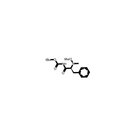 CON(C)[C@@H](Cc1ccccc1)C(=O)NC(=O)OC(C)(C)C